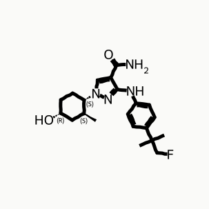 C[C@H]1C[C@H](O)CC[C@@H]1n1cc(C(N)=O)c(Nc2ccc(C(C)(C)CF)cc2)n1